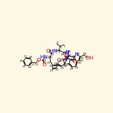 CC(C)[C@@H]1NC(=O)[C@@H](NC(=O)OCc2ccccc2)Cc2ccc3c(c2)[C@@]2(c4ccccc4NC2O3)c2oc1nc2-c1nc(CO)co1